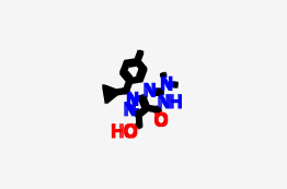 Cc1ccc(C(C2CC2)n2nc(CO)c3c(=O)[nH]c(N(C)C)nc32)cc1